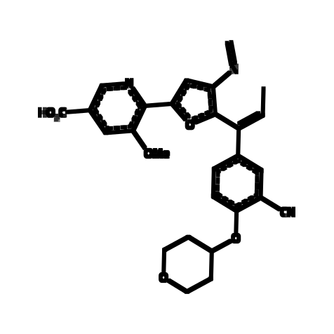 C=Nc1cc(-c2ncc(C(=O)O)cc2OC)oc1/C(=C\C)c1ccc(OC2CCOCC2)c(C#N)c1